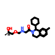 Cc1ccc2c(c1)C(C1CCCCC1)N(C(=O)CNCOC[C@H](C)O)CC2